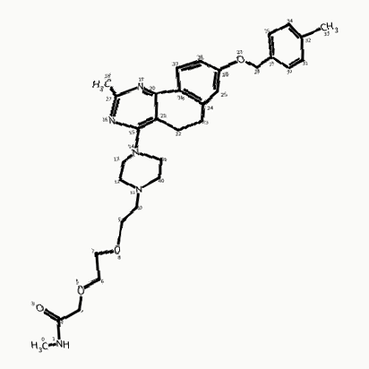 CNC(=O)COCCOCCN1CCN(c2nc(C)nc3c2CCc2cc(OCc4ccc(C)cc4)ccc2-3)CC1